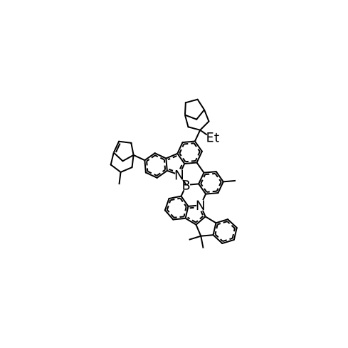 CCC1(c2cc3c4c(c2)c2cc(C56CC=C(CC(C)C5)C6)ccc2n4B2c4c-3cc(C)cc4-n3c4c(c5cccc2c53)C(C)(C)c2ccccc2-4)CC2CCC(C2)C1